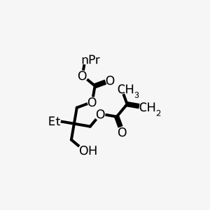 C=C(C)C(=O)OCC(CC)(CO)COC(=O)OCCC